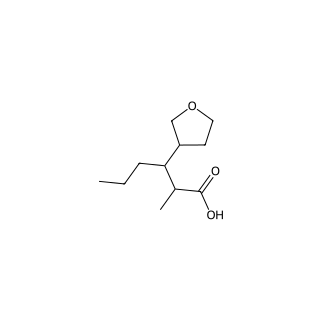 CCCC(C1CCOC1)C(C)C(=O)O